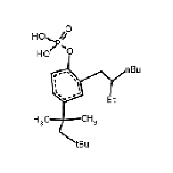 CCCCC(CC)Cc1cc(C(C)(C)CC(C)(C)C)ccc1OP(=O)(O)O